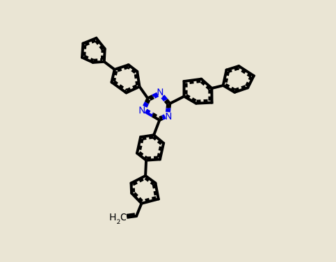 C=Cc1ccc(-c2ccc(-c3nc(-c4ccc(-c5ccccc5)cc4)nc(-c4ccc(-c5ccccc5)cc4)n3)cc2)cc1